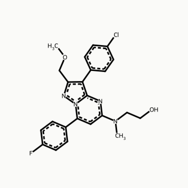 COCc1nn2c(-c3ccc(F)cc3)cc(N(C)CCO)nc2c1-c1ccc(Cl)cc1